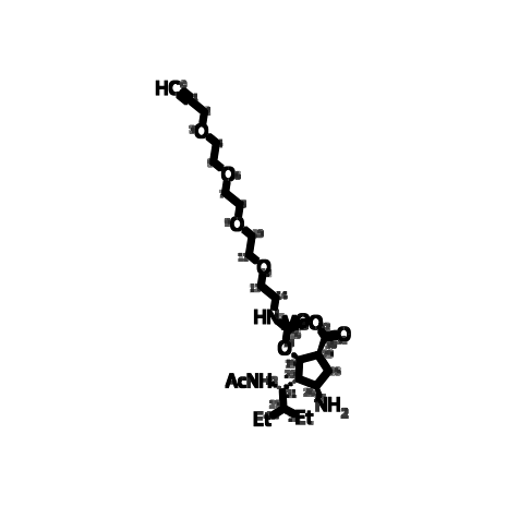 C#CCOCCOCCOCCOCCNC(=O)O[C@H]1[C@@H]([C@@H](NC(C)=O)C(CC)CC)[C@H](N)C[C@@H]1C(=O)OC